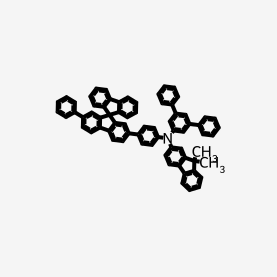 CC1(C)c2ccccc2-c2ccc(N(c3ccc(-c4ccc5c(c4)C4(c6ccccc6-c6ccccc64)c4cc(-c6ccccc6)ccc4-5)cc3)c3cc(-c4ccccc4)cc(-c4ccccc4)c3)cc21